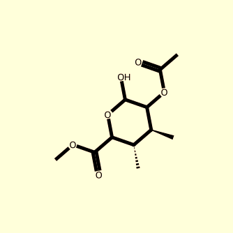 COC(=O)C1OC(O)C(OC(C)=O)[C@@H](C)[C@@H]1C